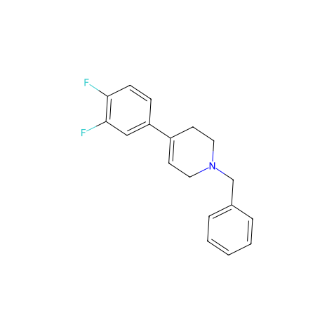 Fc1ccc(C2=CCN(Cc3ccccc3)CC2)cc1F